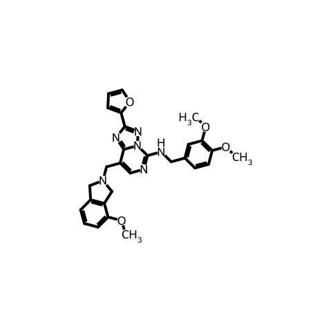 COc1ccc(CNc2ncc(CN3Cc4cccc(OC)c4C3)c3nc(-c4ccco4)nn23)cc1OC